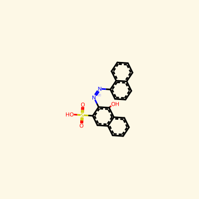 O=S(=O)(O)c1cc2ccccc2c(O)c1/N=N\c1cccc2ccccc12